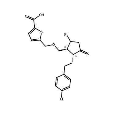 O=C(O)c1ccc(COC[C@H]2C(Br)CC(=S)[C@@H]2CCc2ccc(Cl)cc2)s1